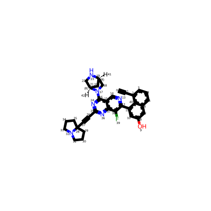 C#Cc1cccc2cc(O)cc(-c3ncc4c(N5C[C@H]6C[C@@H]5CN6)nc(C#CC56CCCN5CCC6)nc4c3F)c12